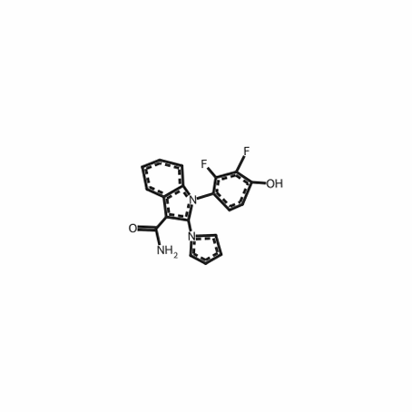 NC(=O)c1c(-n2cccc2)n(-c2ccc(O)c(F)c2F)c2ccccc12